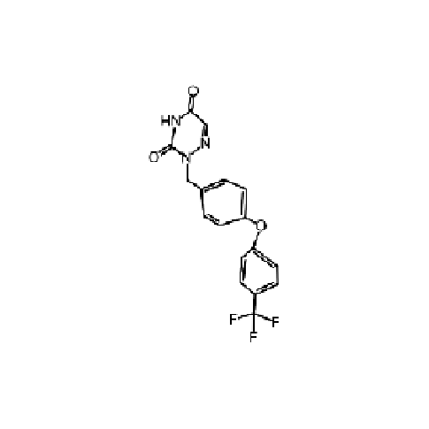 O=c1cnn(Cc2ccc(Oc3ccc(C(F)(F)F)cc3)cc2)c(=O)[nH]1